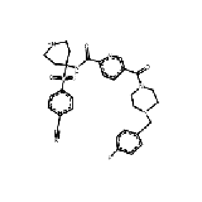 N#Cc1ccc(S(=O)(=O)C2(NC(=O)c3ccc(C(=O)N4CCN(Cc5ccc(F)cc5)CC4)cn3)CCNCC2)cc1